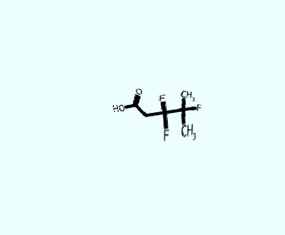 CC(C)(F)C(F)(F)CC(=O)O